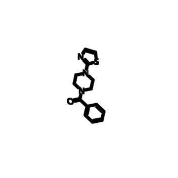 O=C(c1ccccc1)N1CCN(c2nccs2)CC1